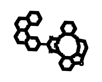 c1ccc2c(c1)ccc1ccc3ccc(-c4nc5nc(n4)c4cccc6oc7ccc(cc7c64)c4ccccc54)cc3c12